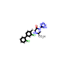 C[C@H](N[C@H](Cc1ccc(-c2ccccc2Cl)cc1Cl)C(=O)Nc1nnn[nH]1)C(=O)O